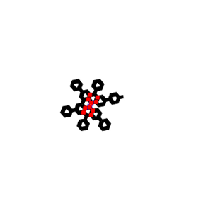 CC1C=CC(c2ccc(N(c3ccc(-c4ccccc4)cc3)c3ccc(-c4ccccc4)cc3-c3cc(-c4ccccc4)ccc3N(c3ccc(-c4ccccc4)cc3)c3ccc(-c4ccccc4)cc3)cc2)=CC1